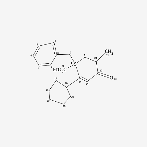 CCOC(=O)S1(Cc2ccccc2)CC(C)C(=O)C=C1C1CCCCC1